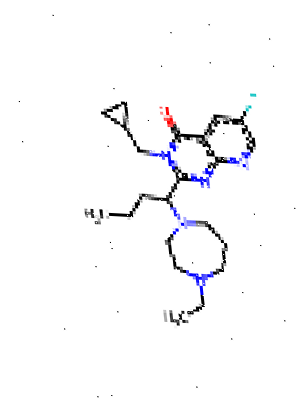 CCCC(c1nc2ncc(F)cc2c(=O)n1CC1CC1)N1CCCN(CC)CC1